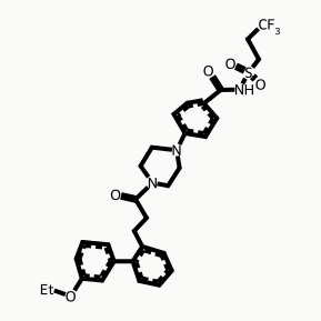 CCOc1cccc(-c2ccccc2CCC(=O)N2CCN(c3ccc(C(=O)NS(=O)(=O)CCC(F)(F)F)cc3)CC2)c1